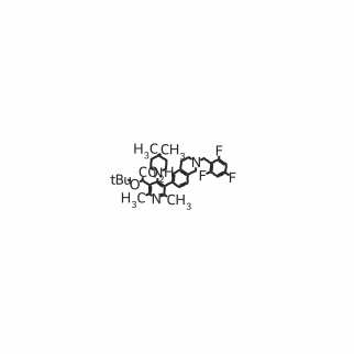 Cc1nc(C)c(C(OC(C)(C)C)C(=O)O)c(N2CCC(C)(C)CC2)c1-c1ccc2c(c1)CCN(Cc1c(F)cc(F)cc1F)C2